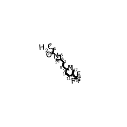 C=CC(=O)N1CC(C=Cc2ccc(C(F)(F)F)cn2)C1